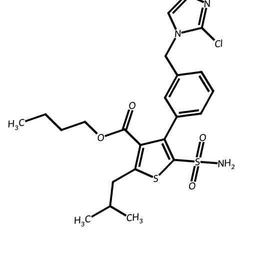 CCCCOC(=O)c1c(CC(C)C)sc(S(N)(=O)=O)c1-c1cccc(Cn2ccnc2Cl)c1